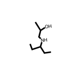 CCC(CC)NCC(C)O